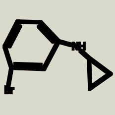 Brc1cccc(NC2CC2)c1